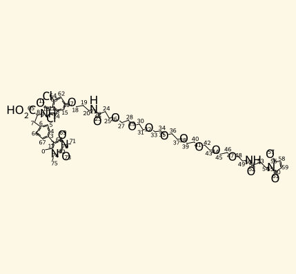 Cc1c(-c2ccc(CC(NC(=O)c3c(Cl)cc(OCCCNC(=O)CCOCCOCCOCCOCCOCCOCCOCCOCCNC(=O)CCN4C(=O)C=CC4=O)cc3Cl)C(=O)O)cc2)c(=O)n(C)c(=O)n1C